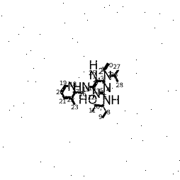 C=CN(c1nc(N[C@@H](CC)[C@@H](C)O)nc(NCc2ncccc2C)c1N)C(C)C